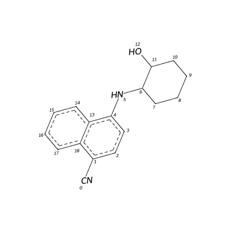 N#Cc1ccc(NC2CCCCC2O)c2ccccc12